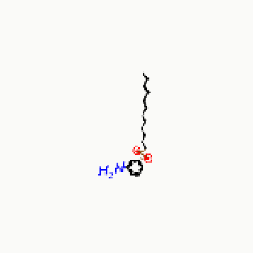 CCCCCCCCCCCCS(=O)(=O)c1cccc(N)c1